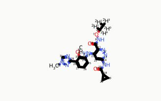 [2H]C([2H])([2H])C([2H])([2H])ONC(=O)c1nnc(NC(=O)C2CC2)cc1Nc1cccc(-c2ncn(C)n2)c1OC